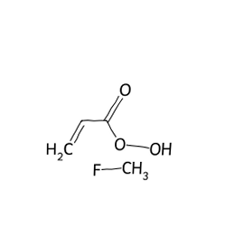 C=CC(=O)OO.CF